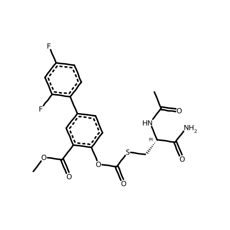 COC(=O)c1cc(-c2ccc(F)cc2F)ccc1OC(=O)SC[C@H](NC(C)=O)C(N)=O